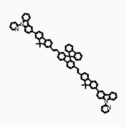 CC1(C)c2cc(/C=C/c3ccc4c(c3)C3(c5ccccc5-c5ccccc53)c3cc(/C=C/c5ccc6c(c5)C(C)(C)c5cc(-c7ccc8c(c7)c7ccccc7n8-c7ccccn7)ccc5-6)ccc3-4)ccc2-c2ccc(-c3ccc4c(c3)c3ccccc3n4-c3ccccn3)cc21